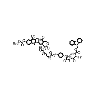 CCc1c2c(nc3ccc(OC(=O)OC(C)(C)C)cc13)-c1cc3c(c(=O)n1C2)COC(=O)[C@@]3(CC)OC(=O)N(C)CCN(C)C(=O)OCc1ccc(NC(=O)[C@H](C)NC(=O)[C@@H](NC(=O)OCC2c3ccccc3-c3ccccc32)C(C)C)cc1